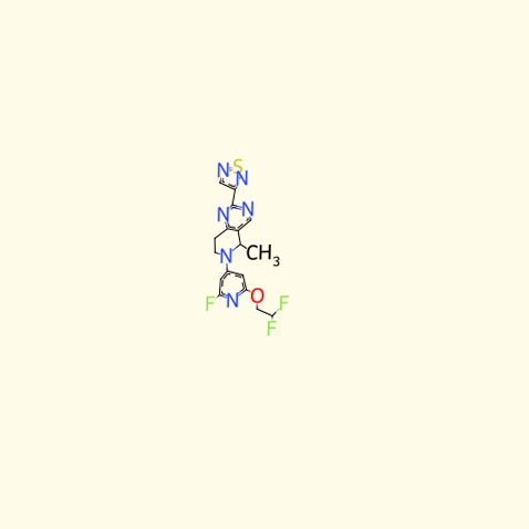 CC1c2cnc(-c3cnsn3)nc2CCN1c1cc(F)nc(OCC(F)F)c1